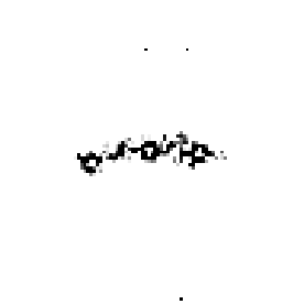 CCc1cc(C#N)cc(C)c1C(=O)NC(Cc1ccc(-c2nc(CNc3cc(C)ccn3)co2)cc1)C(=O)O